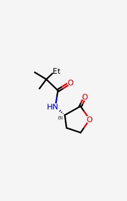 CCC(C)(C)C(=O)N[C@H]1CCOC1=O